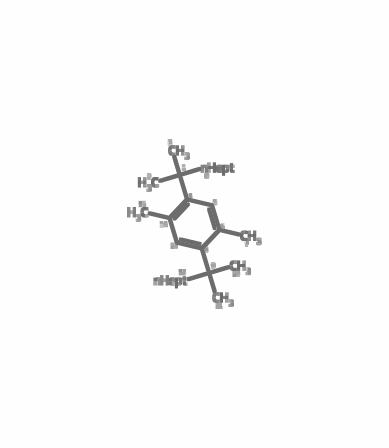 CCCCCCCC(C)(C)c1cc(C)c(C(C)(C)CCCCCCC)cc1C